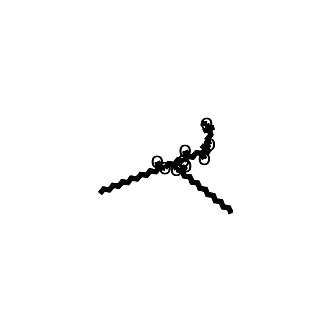 CCCCCCCCCCCCCC(=O)OCC(COC(=O)CCC(=O)C(C)(C)OCCC(C)(C)OC)OC(=O)CCCCCCCCCCCCC